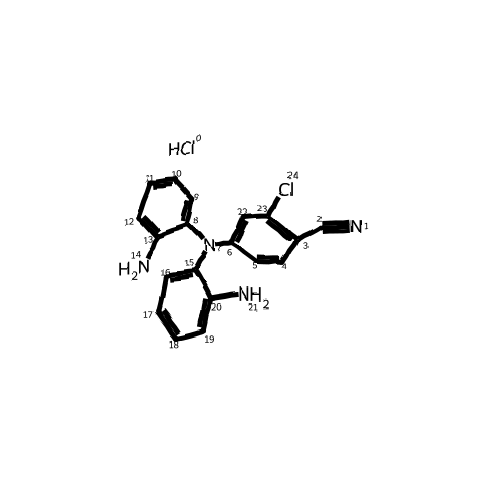 Cl.N#Cc1ccc(N(c2ccccc2N)c2ccccc2N)cc1Cl